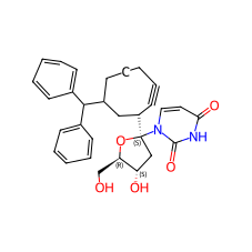 O=c1ccn([C@@]2(C3C#CCCCC(C(c4ccccc4)c4ccccc4)C3)C[C@H](O)[C@@H](CO)O2)c(=O)[nH]1